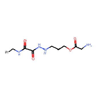 CC(C)CNC(=O)C(=O)NNCCCOC(=O)CN